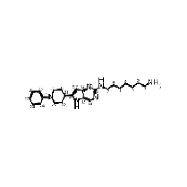 NCCCCCCCNc1ncc2[nH]c(C3CCN(c4ccccc4)CC3)cc2n1